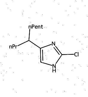 CCCCCC(CCC)c1c[nH]c(Cl)n1